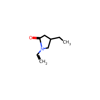 C=CN1CC(CC)CC1=O